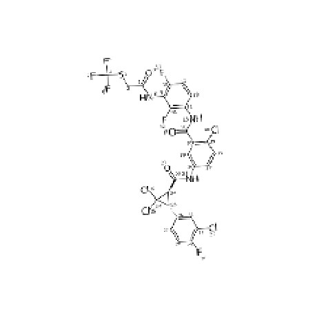 O=C(CSC(F)(F)F)Nc1c(F)ccc(NC(=O)c2cc(NC(=O)[C@H]3[C@H](c4ccc(F)c(Cl)c4)C3(Cl)Cl)ccc2Cl)c1F